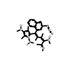 C/N=C(C)/C(=C(C)\C(C)=C(/c1cc(N=[N+]=[N-])cc2ccccc12)c1c(C)c([S+](C)[O-])c(C)n1B(F)F)[S+](C)[O-]